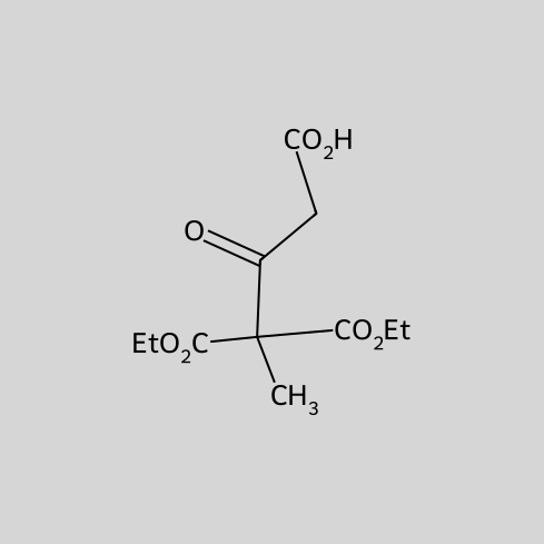 CCOC(=O)C(C)(C(=O)CC(=O)O)C(=O)OCC